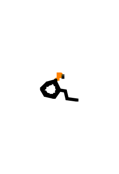 CCCc1ccccc1[P]